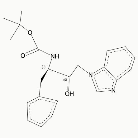 CC(C)(C)OC(=O)N[C@H](Cc1ccccc1)[C@@H](O)Cn1cnc2ccccc21